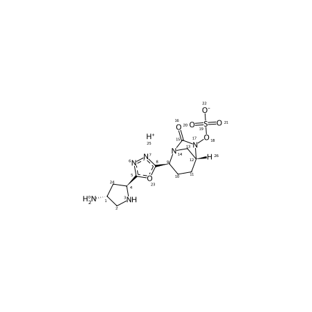 N[C@H]1CN[C@H](c2nnc([C@@H]3CC[C@@H]4CN3C(=O)N4OS(=O)(=O)[O-])o2)C1.[H+]